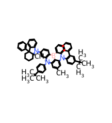 Cc1cc2c3c(c1)N(c1ccc(C(C)(C)C)cc1-c1ccccc1)c1ccccc1B3c1ccc(N3c4ccccc4C4(c5ccccc5)CCCCC34C)cc1N2c1ccc(C(C)(C)C)cc1